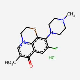 CN1CCN(c2c(F)cc3c(=O)c(C(=O)O)cn4c3c2SCC4)CC1.Cl